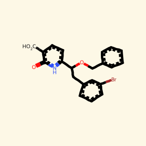 O=C(O)c1ccc(C(Cc2cccc(Br)c2)OCc2ccccc2)[nH]c1=O